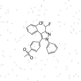 CS(=O)(=O)c1ccc(-c2c(-c3ccccc3Cl)c(C(F)F)nn2-c2ccccc2)cc1